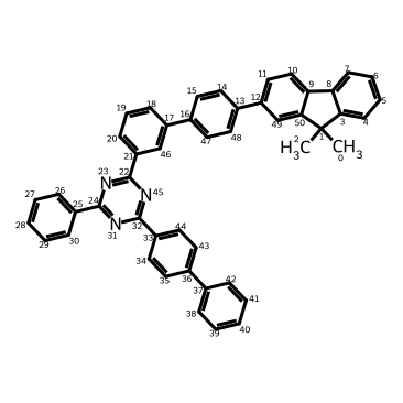 CC1(C)c2ccccc2-c2ccc(-c3ccc(-c4cccc(-c5nc(-c6ccccc6)nc(-c6ccc(-c7ccccc7)cc6)n5)c4)cc3)cc21